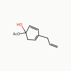 C=CCC1=CCC(O)(OC(C)=O)C=C1